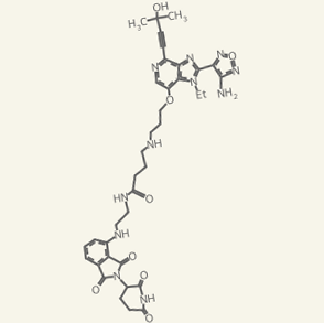 CCn1c(-c2nonc2N)nc2c(C#CC(C)(C)O)ncc(OCCCNCCCC(=O)NCCNc3cccc4c3C(=O)N(C3CCC(=O)NC3=O)C4=O)c21